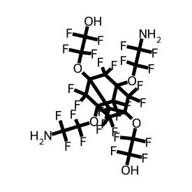 NC(F)(F)C(F)(F)OC12C(F)(F)C3(OC(F)(F)C(N)(F)F)C(F)(F)C(OC(F)(F)C(O)(F)F)(C1(F)F)C(F)(F)C(OC(F)(F)C(O)(F)F)(C2(F)F)C3(F)F